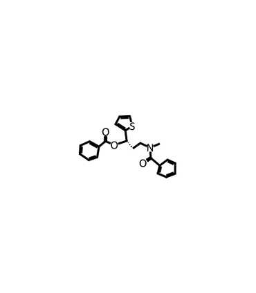 CN(CC[C@H](OC(=O)c1ccccc1)c1cccs1)C(=O)c1ccccc1